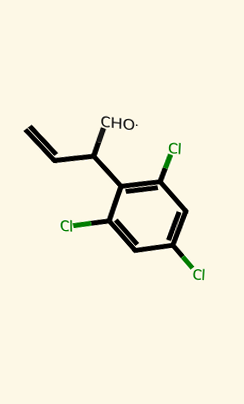 C=CC([C]=O)c1c(Cl)cc(Cl)cc1Cl